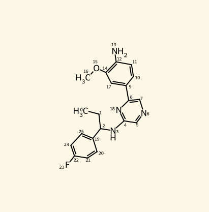 CCC(Nc1cncc(-c2ccc(N)c(OC)c2)n1)c1ccc(F)cc1